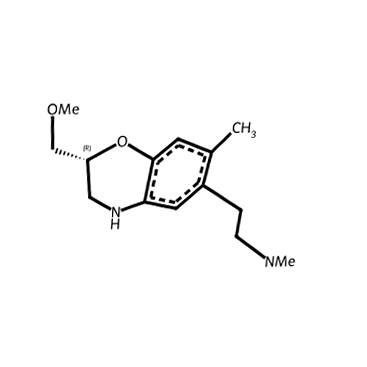 CNCCc1cc2c(cc1C)O[C@@H](COC)CN2